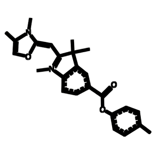 CC1=COC(=CC2=[N+](C)c3ccc(C(=O)Oc4ccc(C)cc4)cc3C2(C)C)N1C